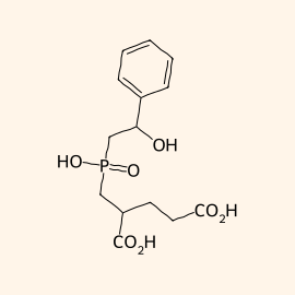 O=C(O)CCC(CP(=O)(O)CC(O)c1ccccc1)C(=O)O